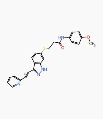 O=C(CCSc1ccc2c(/C=C/c3ccccn3)n[nH]c2c1)Nc1ccc(OC(F)(F)F)cc1